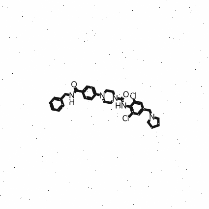 O=C(NCc1ccccc1)c1ccc(N2CCN(C(=O)Nc3c(Cl)cc(CN4CCCC4)cc3Cl)CC2)cc1